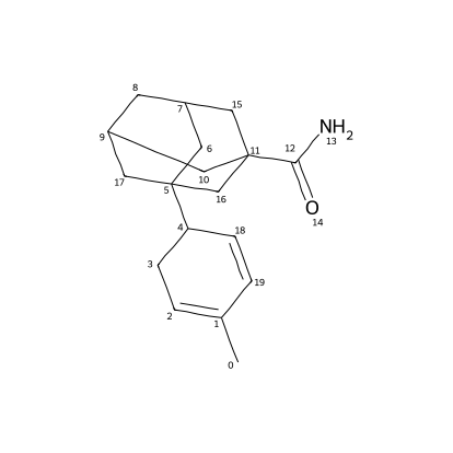 CC1=CCC(C23CC4CC(CC(C(N)=O)(C4)C2)C3)C=C1